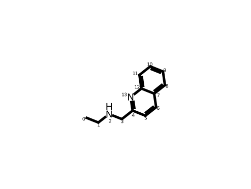 CCNCc1ccc2ccccc2n1